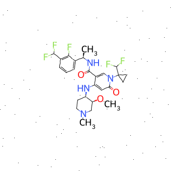 CO[C@H]1CN(C)CC[C@H]1Nc1cc(=O)n(C2(C(F)F)CC2)cc1C(=O)N[C@H](C)c1cccc(C(F)F)c1F